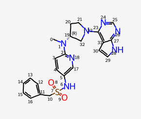 CN(c1ccc(NS(=O)(=O)Cc2ccccc2)cn1)[C@@H]1CCN(c2ncnc3[nH]ccc23)C1